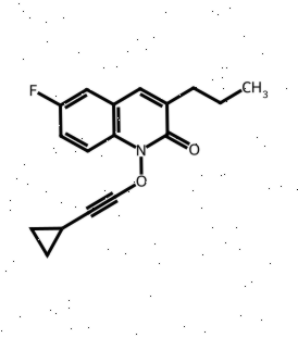 CCCc1cc2cc(F)ccc2n(OC#CC2CC2)c1=O